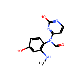 CNc1cc(O)ccc1N(C=O)c1ccnc(O)n1